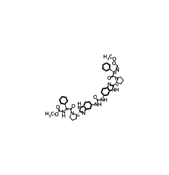 COO/C=N\[C@@H](C(=O)N1CCC[C@H]1c1nc2ccc(NC(=O)Nc3ccc4[nH]c([C@@H]5CCCN5C(=O)[C@H](NC(=O)OC)c5ccccc5)nc4c3)cc2[nH]1)c1ccccc1